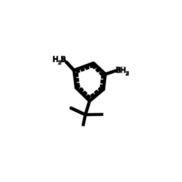 Bc1cc(B)cc(C(C)(C)C)c1